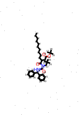 CCCCCCCCCCC(CC(=O)OC(C)(C)C)C(=O)N(CC(C)(C)C)C(=O)NC(c1ccccc1)c1ccccc1